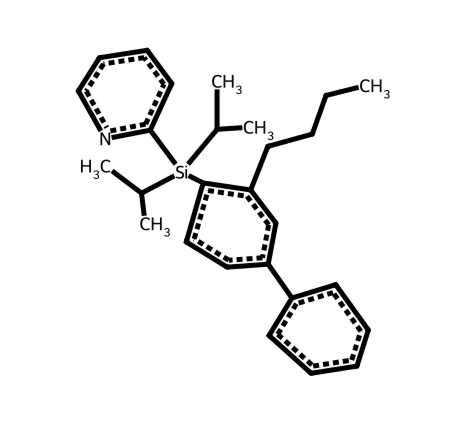 CCCCc1cc(-c2ccccc2)ccc1[Si](c1ccccn1)(C(C)C)C(C)C